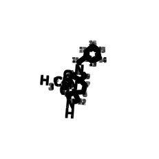 CS(=O)(=O)N1C2(CCC13CN(Cc1ccccc1)C3=O)CNC2